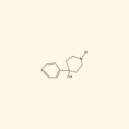 CCN1CCC(C#N)(c2ccncc2)CC1